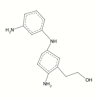 Nc1cccc(Nc2ccc(N)c(CCO)c2)c1